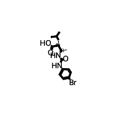 CC(C)C[C@@H](C(=O)O)[C@H](C)NC(=O)Nc1ccc(Br)cc1